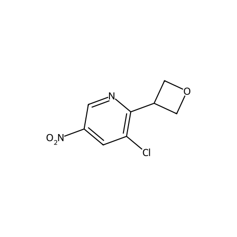 O=[N+]([O-])c1cnc(C2COC2)c(Cl)c1